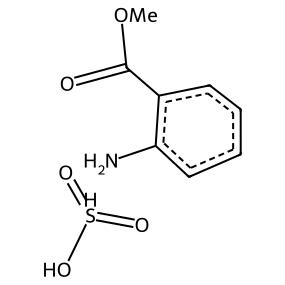 COC(=O)c1ccccc1N.O=[SH](=O)O